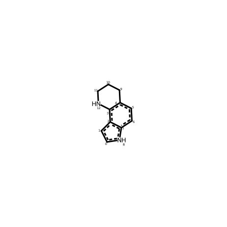 c1cc2c3c(ccc2[nH]1)CCCN3